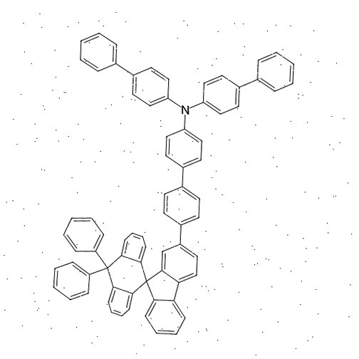 c1ccc(-c2ccc(N(c3ccc(-c4ccccc4)cc3)c3ccc(-c4ccc(-c5ccc6c(c5)C5(c7ccccc7-6)c6ccccc6C(c6ccccc6)(c6ccccc6)c6ccccc65)cc4)cc3)cc2)cc1